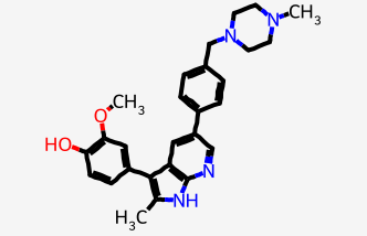 COc1cc(-c2c(C)[nH]c3ncc(-c4ccc(CN5CCN(C)CC5)cc4)cc23)ccc1O